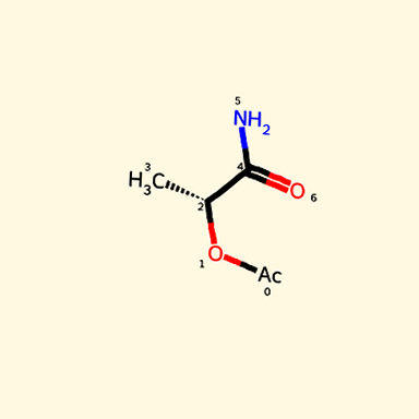 CC(=O)O[C@H](C)C(N)=O